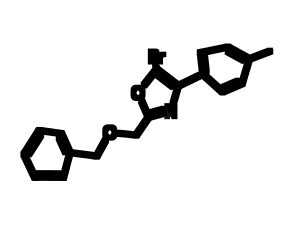 Cc1ccc(-c2nc(COCc3ccccc3)oc2Br)cc1